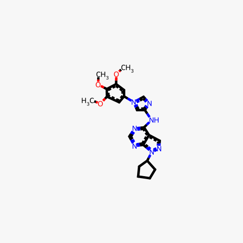 COc1cc(-n2cnc(Nc3ncnc4c3cnn4C3CCCC3)c2)cc(OC)c1OC